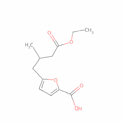 CCOC(=O)CC(C)Cc1ccc(C(=O)O)o1